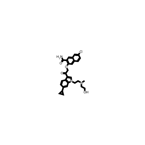 CN(CCO)CCn1cc(C(=O)COc2cc3ccc(Cl)cc3cc2C(N)=O)c2ccc(C3CC3)cc21